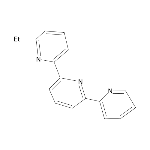 CCc1cccc(-c2cccc(-c3ccccn3)n2)n1